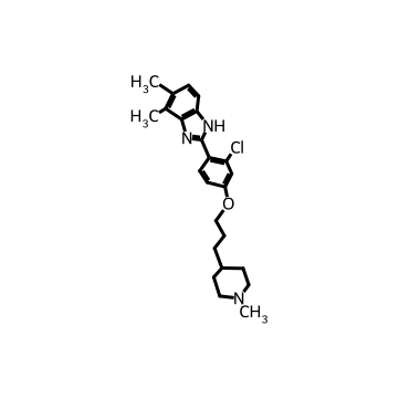 Cc1ccc2[nH]c(-c3ccc(OCCCC4CCN(C)CC4)cc3Cl)nc2c1C